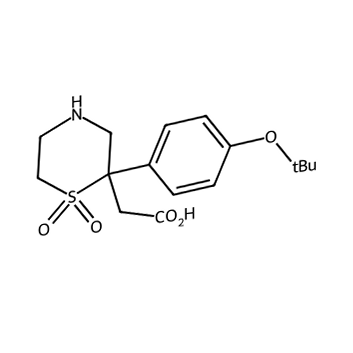 CC(C)(C)Oc1ccc(C2(CC(=O)O)CNCCS2(=O)=O)cc1